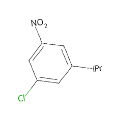 CC(C)c1cc(Cl)cc([N+](=O)[O-])c1